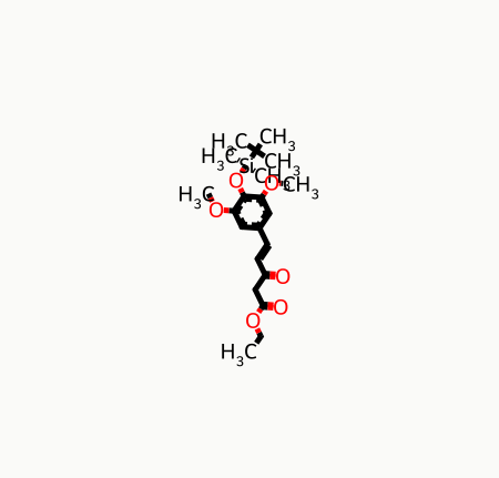 CCOC(=O)CC(=O)/C=C/c1cc(OC)c(O[Si](C)(C)C(C)(C)C)c(OC)c1